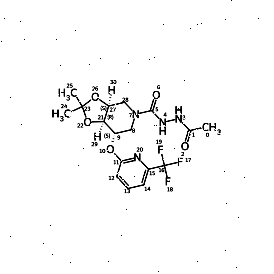 CC(=O)NNC(=O)N1C[C@H](Oc2cccc(C(F)(F)F)n2)[C@H]2OC(C)(C)O[C@H]2C1